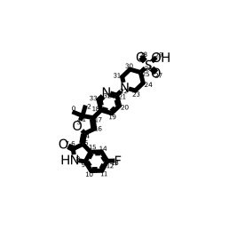 CC1(C)OC(=C2C(=O)Nc3ccc(F)cc32)C=C1c1ccc(N2CCC(S(=O)(=O)O)CC2)nc1